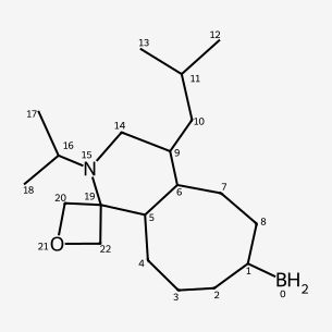 BC1CCCC2C(CC1)C(CC(C)C)CN(C(C)C)C21COC1